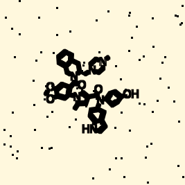 Cc1cc(C(=O)N(c2ccc(O)cc2)c2ccc3[nH]ccc3c2)cn1-c1cc2c(cc1C(=O)N1Cc3ccccc3C[C@H]1CN1CCN(C)CC1)OCO2